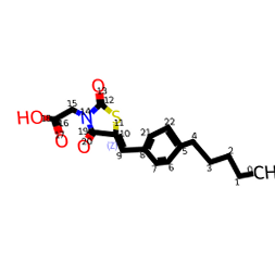 CCCCCc1ccc(/C=C2\SC(=O)N(CC(=O)O)C2=O)cc1